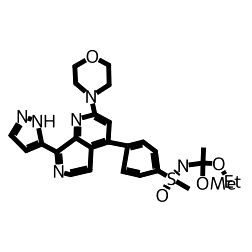 CCOC(C)(N=S(C)(=O)c1ccc(-c2cc(N3CCOCC3)nc3c(-c4ccn[nH]4)nccc23)cc1)OC